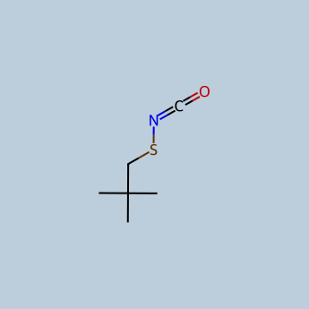 CC(C)(C)CSN=C=O